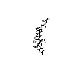 CCc1nc2sc(N3CC4N(CC(=O)N5CC(O)C5)C5CCC543)nn2c1N(C)c1nc(-c2ccc(F)cc2)c(C#N)s1